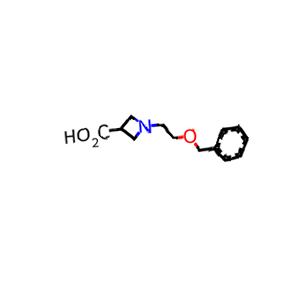 O=C(O)C1CN(CCOCc2ccccc2)C1